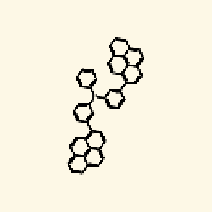 c1ccc(P(c2cccc(-c3ccc4ccc5cccc6ccc3c4c56)c2)c2cccc(-c3ccc4ccc5cccc6ccc3c4c56)c2)cc1